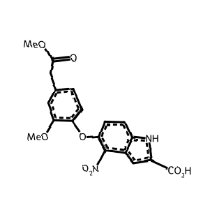 COC(=O)Cc1ccc(Oc2ccc3[nH]c(C(=O)O)cc3c2[N+](=O)[O-])c(OC)c1